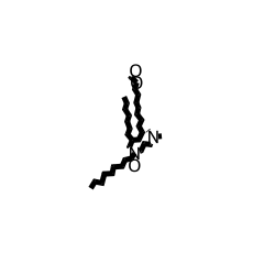 CCCCCCCCC(=O)N(CCCN(C)C)CC(CCCCCCC)CCCCCCCCCOC=O